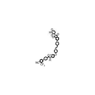 N#Cc1ccc(N2CCC(C(=O)Nc3ccc(OC4CCN(CCC5CCN(c6ccc7c(c6)C(=O)N(C6CCC(=O)NC6=O)C7=O)CC5)CC4)cn3)CC2)cc1C(F)(F)F